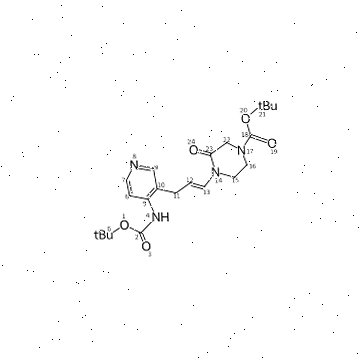 CC(C)(C)OC(=O)Nc1ccncc1CC=CN1CCN(C(=O)OC(C)(C)C)CC1=O